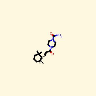 C[C@H]1CCCC(C)(C)[C@@H]1C=CC(=O)N1CCN(C(N)=O)CC1